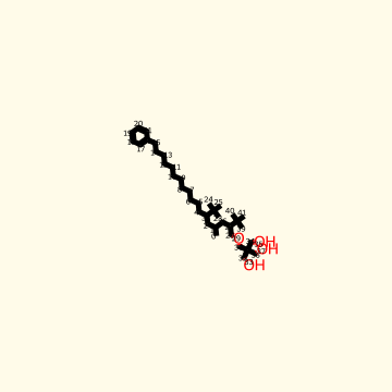 CC(CC(CCCCCCCCCCCCc1ccccc1)C(C)(C)C)CC(COCC(CO)(CO)CO)C(C)(C)C